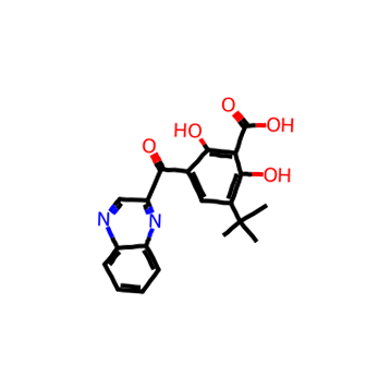 CC(C)(C)c1cc(C(=O)c2cnc3ccccc3n2)c(O)c(C(=O)O)c1O